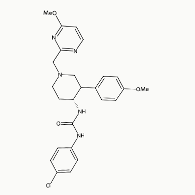 COc1ccc(C2CN(Cc3nccc(OC)n3)CC[C@H]2NC(=O)Nc2ccc(Cl)cc2)cc1